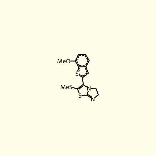 COc1cccc2cc(C3=C(SC)SC4=NCCN43)sc12